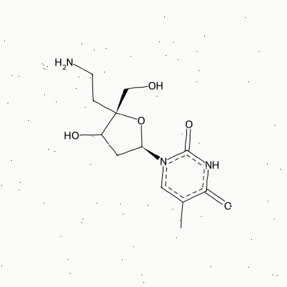 Cc1cn([C@H]2CC(O)[C@](CO)(CCN)O2)c(=O)[nH]c1=O